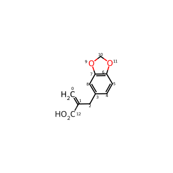 C=C(Cc1ccc2c(c1)OCO2)C(=O)O